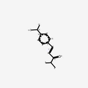 CC(C)C(=O)/C=C/c1ccc(C(C)I)cc1